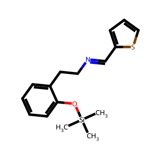 C[Si](C)(C)Oc1ccccc1CCN=Cc1cccs1